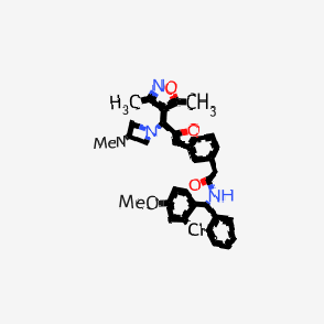 CNC1CN(C(c2cc3cc(CC(=O)NC(c4ccccc4)c4ccc(OC)cc4C)ccc3o2)c2c(C)noc2C)C1